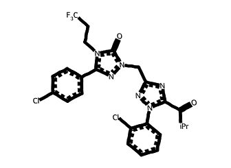 CC(C)C(=O)c1nc(Cn2nc(-c3ccc(Cl)cc3)n(CCC(F)(F)F)c2=O)nn1-c1ccccc1Cl